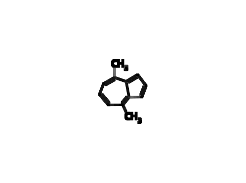 Cc1cccc(C)c2cccc1-2